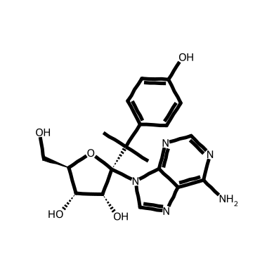 CC(C)(c1ccc(O)cc1)[C@@]1(n2cnc3c(N)ncnc32)O[C@H](CO)[C@@H](O)[C@H]1O